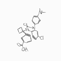 CN(C)c1ccc(-n2c(=O)n(C3(c4cccc(C(=O)O)c4)CCC3)c3ccc(Cl)cc32)cc1